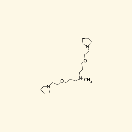 CN(CCCOCCN1CCCC1)CCCOCCN1CCCC1